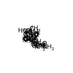 CC(=O)NC(CCC(=O)O)C(=O)N1CCCCC1C(=O)NC(Cc1c[nH]c2ccccc12)C(=O)NC(CCCNC(N)=O)C(N)=O